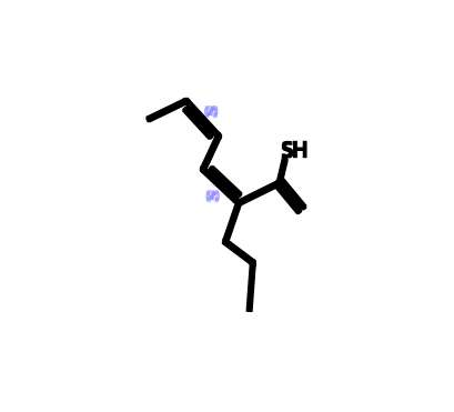 C=C(S)/C(=C\C=C/C)CCC